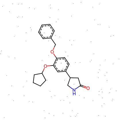 O=C1CC(c2ccc(OCc3ccccc3)c(OC3CCCC3)c2)CN1